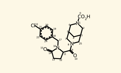 O=C(O)N1CC2CC(C1)CN(C(=O)C1CCC(=O)N1Cc1ccc(Cl)cc1)C2